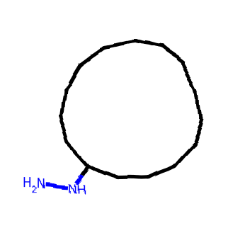 NNC1CCCCCCCCCCCCCC1